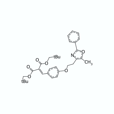 Cc1oc(-c2ccccc2)nc1CCOc1ccc(C=C(C(=O)OCC(C)(C)C)C(=O)OCC(C)(C)C)cc1